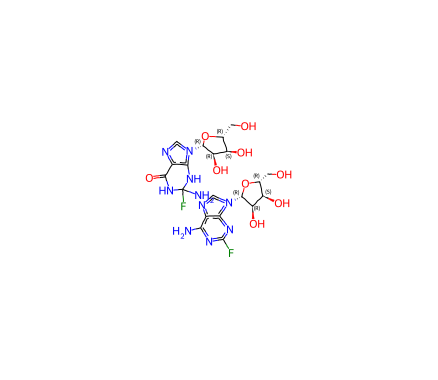 NC1(F)NC(=O)c2ncn([C@@H]3O[C@H](CO)[C@@H](O)[C@H]3O)c2N1.Nc1nc(F)nc2c1ncn2[C@@H]1O[C@H](CO)[C@@H](O)[C@H]1O